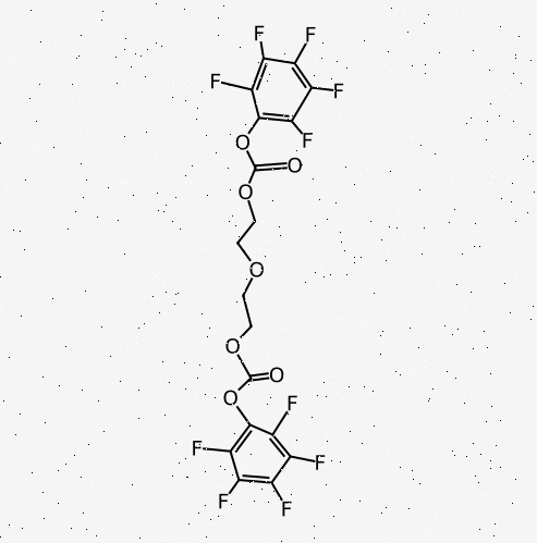 O=C(OCCOCCOC(=O)Oc1c(F)c(F)c(F)c(F)c1F)Oc1c(F)c(F)c(F)c(F)c1F